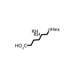 CCCCCCCCCCCC(=O)O.[KH].[KH]